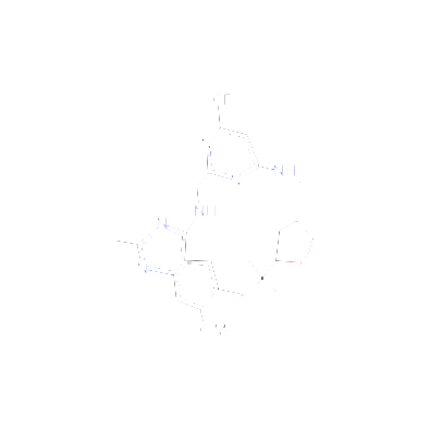 COc1cc2nc(C)nc(NCc3nc(N)cc(C(F)(F)F)n3)c2cc1OC(C)(C)C1CCCO1